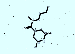 CCCCN(C)C(=O)N1CC(C)OC(C)C1